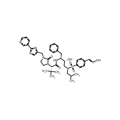 CC(C)CN(C[C@@H](O)[C@H](Cc1ccccc1)NC(=O)[C@@H](N1CCN(Cc2csc(-c3cccnc3)n2)C1=O)C(C)(C)C)S(=O)(=O)c1ccc(C=NO)cc1